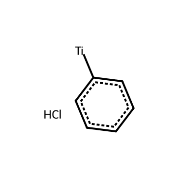 Cl.[Ti][c]1ccccc1